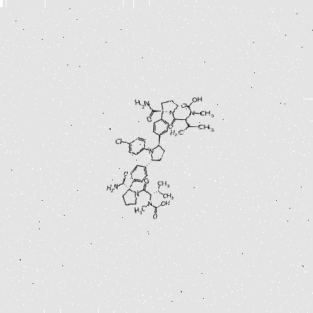 CC(C)[C@@H](C(=O)N1CCC[C@@]1(C(N)=O)c1ccc([C@H]2CC[C@H](c3ccc([C@]4(C(N)=O)CCCN4C(=O)[C@H](C(C)C)N(C)C(=O)O)cc3)N2c2ccc(Cl)cc2)cc1)N(C)C(=O)O